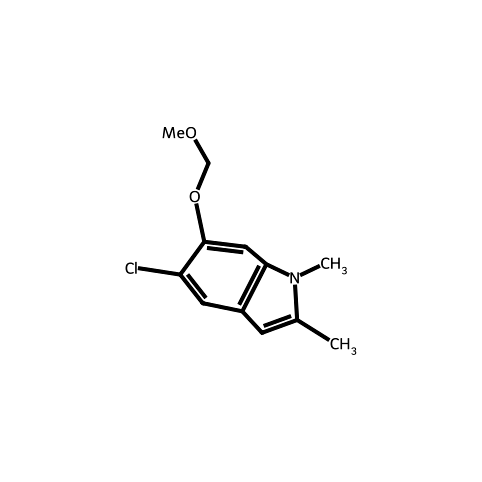 COCOc1cc2c(cc1Cl)cc(C)n2C